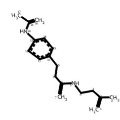 C=C(C)CCNC(=C)CCc1ccc(NC(=C)C)cc1